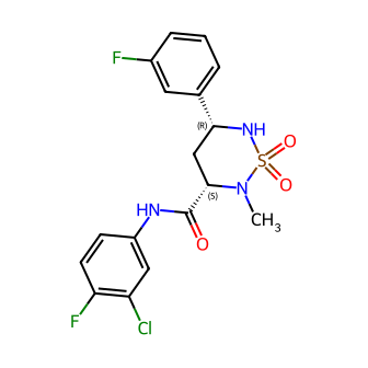 CN1[C@H](C(=O)Nc2ccc(F)c(Cl)c2)C[C@H](c2cccc(F)c2)NS1(=O)=O